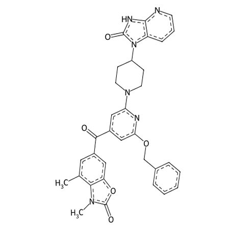 Cc1cc(C(=O)c2cc(OCc3ccccc3)nc(N3CCC(n4c(=O)[nH]c5ncccc54)CC3)c2)cc2oc(=O)n(C)c12